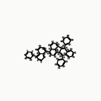 c1ccc(-c2cccc3c(-c4ccc5c6c(cccc46)-c4c-5c(-c5ccccc5)c5ccccc5c4-c4ccccc4)nccc23)cc1